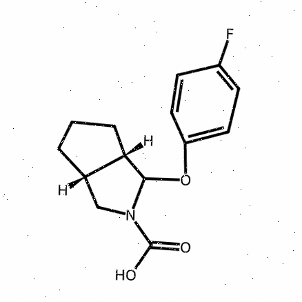 O=C(O)N1C[C@@H]2CCC[C@@H]2C1Oc1ccc(F)cc1